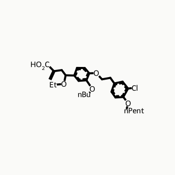 C=C(CC(OCC)c1ccc(OCCc2ccc(OCCCCC)c(Cl)c2)c(OCCCC)c1)C(=O)O